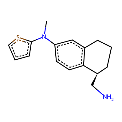 CN(c1ccc2c(c1)CCC[C@H]2CN)c1cccs1